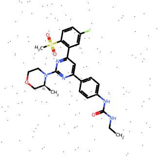 CCNC(=O)Nc1ccc(-c2cc(-c3cc(F)ccc3S(C)(=O)=O)nc(N3CCOC[C@@H]3C)n2)cc1